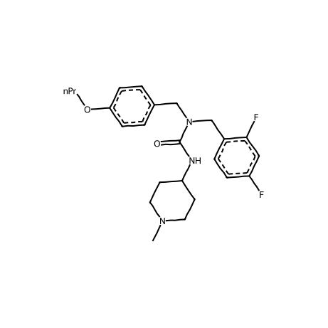 CCCOc1ccc(CN(Cc2ccc(F)cc2F)C(=O)NC2CCN(C)CC2)cc1